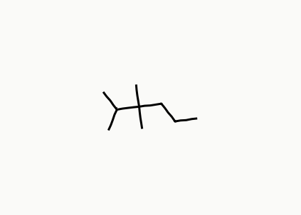 CCCC(C)(C)[C](C)C